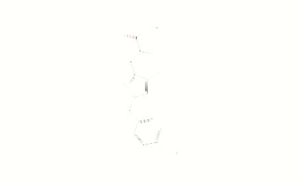 COC(=O)C(O)Cc1nn(Cc2ccc(OC)cc2)cc1I